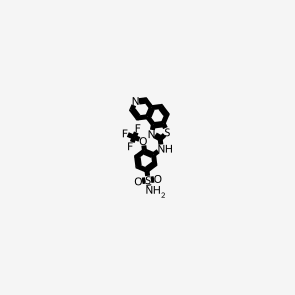 NS(=O)(=O)c1ccc(OC(F)(F)F)c(Nc2nc3c(ccc4cnccc43)s2)c1